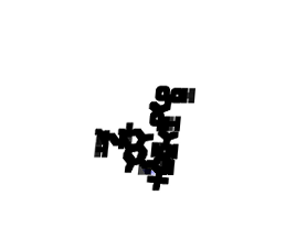 C=C(CC(=O)O)ONCC(C)c1nc2n(n1)N=C(C(C)(C)C)/C2=N/c1cc2c(cc1C)N(CCNC)C(C)(C)CC2C